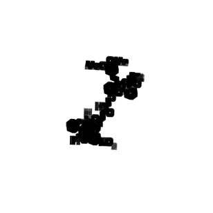 CCC(C)(C)C(=O)C(=O)N1CCCC[C@H]1C(=O)O[C@H](CCc1ccc(OC)c(OC)c1)c1cccc(OCCNC(=O)CCC(CO)OC(=O)N[C@@H](Cc2ccccc2)[C@H](O)CN(CC(C)C)S(=O)(=O)c2ccc([N+](=O)[O-])cc2)c1